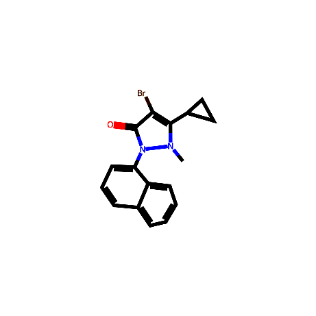 Cn1c(C2CC2)c(Br)c(=O)n1-c1cccc2ccccc12